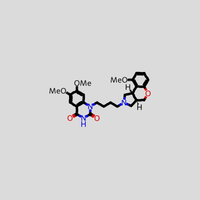 COc1cc2c(=O)[nH]c(=O)n(CCCCN3C[C@@H]4COc5cccc(OC)c5[C@H]4C3)c2cc1OC